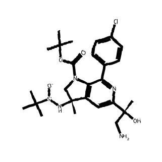 CC(C)(C)OC(=O)N1C[C@@](C)(N[S+]([O-])C(C)(C)C)c2cc([C@](C)(O)CN)nc(-c3ccc(Cl)cc3)c21